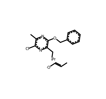 CC=C[O].Cc1nc(OCc2ccccc2)c(CC(C)C)nc1Cl